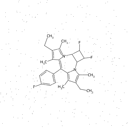 CCC1=C(C)C2=C(c3ccc(F)cc3)c3c(C)c(CC)c(C)n3C3C(F)C(F)C3[N+]2=C1C